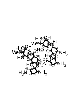 CCN[C@@H]1C[C@H](N)[C@@H](OC2OC(CN)=CCC2N)[C@H](O)[C@H]1O[C@H]1OC[C@](C)(O)[C@H](NC)[C@H]1O.CCN[C@@H]1C[C@H](N)[C@@H](OC2OC(CN)=CCC2N)[C@H](O)[C@H]1O[C@H]1OC[C@](C)(O)[C@H](NC)[C@H]1O